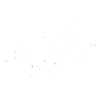 COC(C)(C)Cn1ccc(S(=O)(=O)NC(=O)Cc2c(C(C)C)cc(Cl)cc2C(C)C)n1